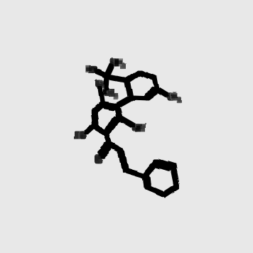 CC1=CC(c2c(O)cc(O)c(C(=O)/C=C/C3=CCCC=C3)c2O)C(C(C)(C)O)CC1